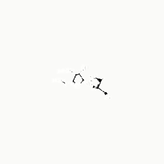 N#Cc1cnn([C@@H]2O[C@H](CO)[C@@H](O)[C@H]2O)n1